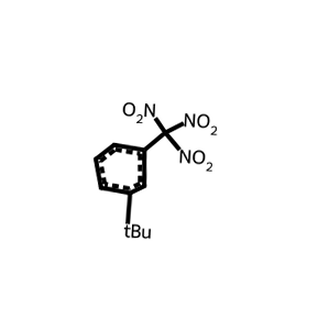 CC(C)(C)c1cccc(C([N+](=O)[O-])([N+](=O)[O-])[N+](=O)[O-])c1